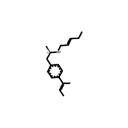 C/C=C(\C)c1ccc(C[C@@H](C)NCC=CCC)cc1